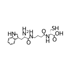 N[C@@H](Cc1c[nH]c2ccccc12)C(=O)NCCCC(=O)N[C@H](CS)C(=O)O